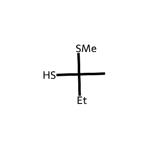 CCC(C)(S)SC